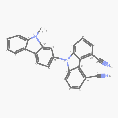 Cn1c2ccccc2c2ccc(-n3c4cccc(C#N)c4c4c(C#N)cccc43)cc21